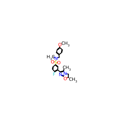 COc1ccc(CN(C)S(=O)(=O)c2ccc(F)c(-c3nc4n(c3C)C[C@@H](C)O4)c2)cc1